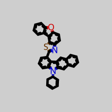 C1=CCC(n2c3cc4ccccc4cc3c3c(-c4nc5ccc6oc7ccccc7c6c5s4)cccc32)C=C1